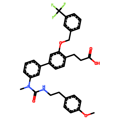 COc1ccc(CCNC(=O)N(C)c2cccc(-c3ccc(CCC(=O)O)c(OCc4cccc(C(F)(F)F)c4)c3)c2)cc1